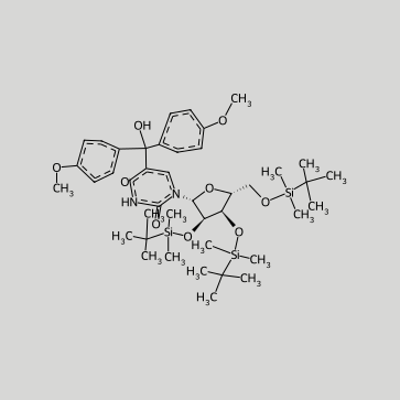 COc1ccc(C(O)(c2ccc(OC)cc2)c2cn([C@@H]3O[C@H](CO[Si](C)(C)C(C)(C)C)[C@@H](O[Si](C)(C)C(C)(C)C)[C@H]3O[Si](C)(C)C(C)(C)C)c(=O)[nH]c2=O)cc1